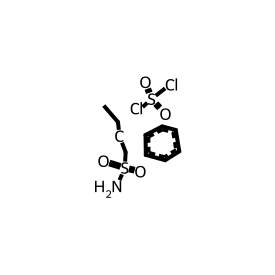 CCCCS(N)(=O)=O.O=S(=O)(Cl)Cl.c1ccccc1